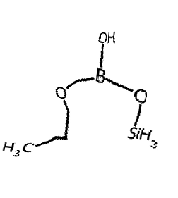 CCOB(O)O[SiH3]